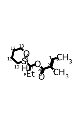 CC=C(C)C(=O)OC(CC)[SiH]1CCCCO1